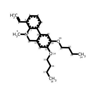 C=Cc1cccc2c1N(C)Cc1cc(OCCCC)c(OCCCC)cc1-2